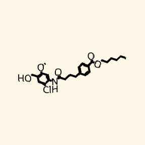 CCCCCCOC(=O)c1ccc(CCCC(=O)Nc2cc(OC)c(CO)cc2Cl)cc1